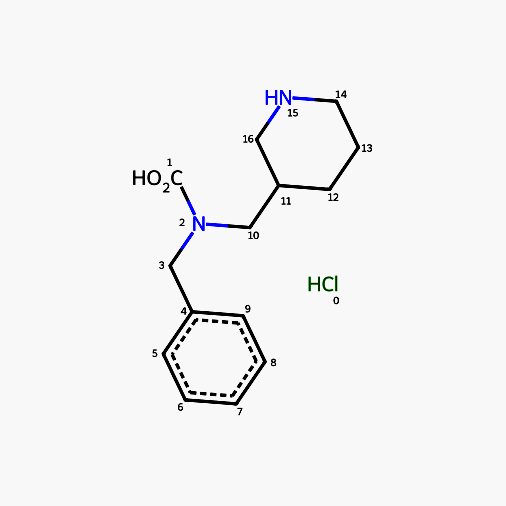 Cl.O=C(O)N(Cc1ccccc1)CC1CCCNC1